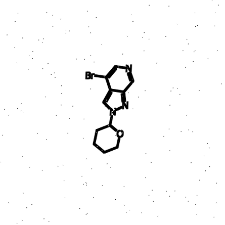 Brc1cncc2nn(C3CCCCO3)cc12